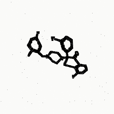 Cc1ccc(F)cc1CN1CCN(C2(c3cccc(F)c3)Cc3c(F)cccc3C2=O)CC1